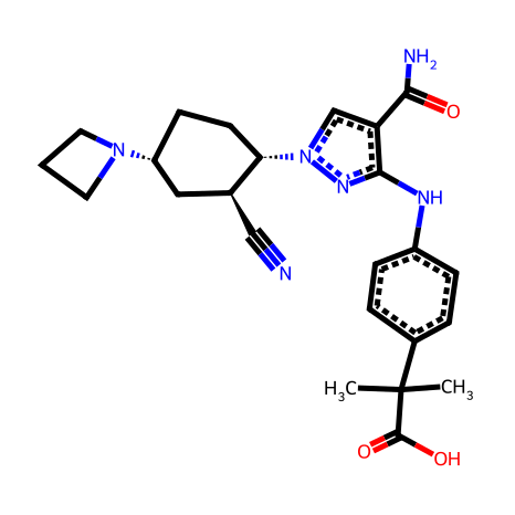 CC(C)(C(=O)O)c1ccc(Nc2nn([C@H]3CC[C@@H](N4CCC4)C[C@@H]3C#N)cc2C(N)=O)cc1